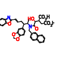 CC(C(CC=Cc1nc2ccccc2o1)c1ccc2c(c1)OCO2)N(Cc1ccc2ccccc2c1)C(=O)C(O)C(CC(=O)O)C(=O)O